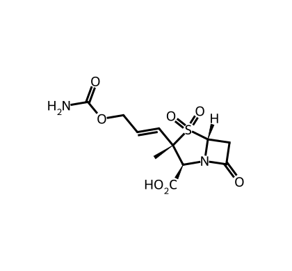 C[C@]1(C=CCOC(N)=O)[C@H](C(=O)O)N2C(=O)C[C@H]2S1(=O)=O